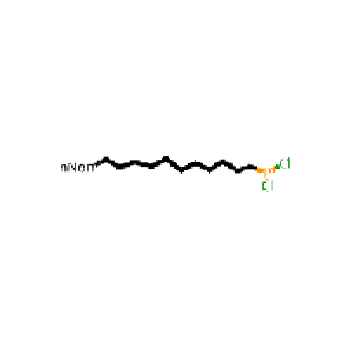 CCCCCCCCCCCCCCCCCCCCP(Cl)Cl